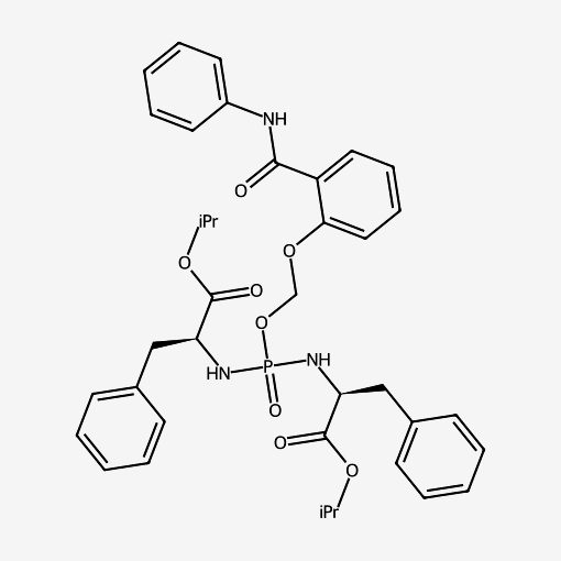 CC(C)OC(=O)[C@H](Cc1ccccc1)NP(=O)(N[C@@H](Cc1ccccc1)C(=O)OC(C)C)OCOc1ccccc1C(=O)Nc1ccccc1